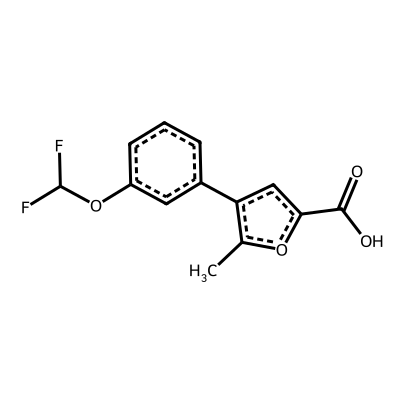 Cc1oc(C(=O)O)cc1-c1cccc(OC(F)F)c1